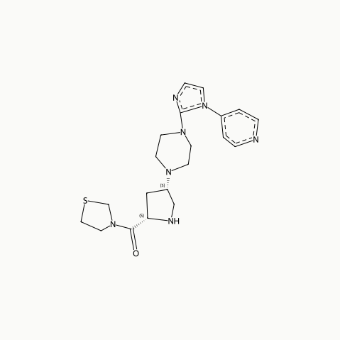 O=C([C@@H]1C[C@H](N2CCN(c3nccn3-c3ccncc3)CC2)CN1)N1CCSC1